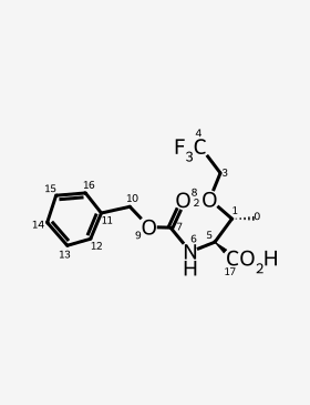 C[C@@H](OCC(F)(F)F)[C@H](NC(=O)OCc1ccccc1)C(=O)O